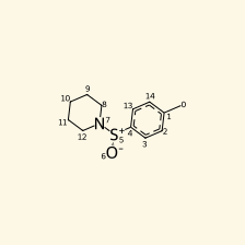 Cc1ccc([S@+]([O-])N2CCCCC2)cc1